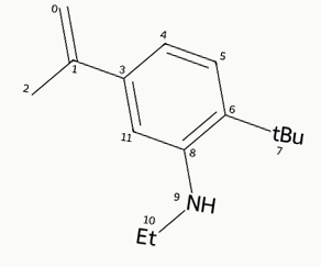 C=C(C)c1ccc(C(C)(C)C)c(NCC)c1